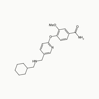 COc1cc(C(N)=O)ccc1Oc1ccc(CNCC2CCCCC2)cn1